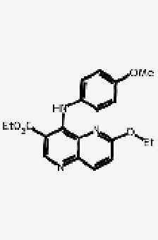 CCOC(=O)c1cnc2ccc(OCC)nc2c1Nc1ccc(OC)cc1